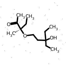 CCC(O)(CC)CCO[C@](C)(CC)C(C)=O